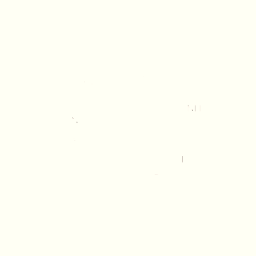 O=C1Cc2cc(C3=C(OC(F)F)CNC=C3Cl)cc(Cl)c2N1